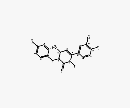 CN1C(=O)N(Cc2ccc(Cl)cc2)C(O)C=C1c1ccc(Cl)c(Cl)c1